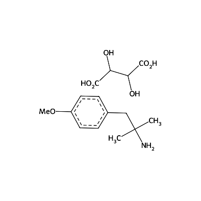 COc1ccc(CC(C)(C)N)cc1.O=C(O)C(O)C(O)C(=O)O